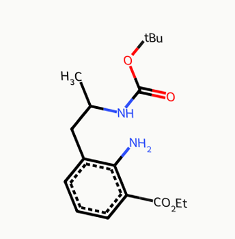 CCOC(=O)c1cccc(CC(C)NC(=O)OC(C)(C)C)c1N